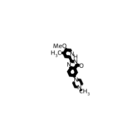 COc1cnc(-c2nc3ccc(N4CCN(C)CC4)cc3c(=O)[nH]2)cc1C